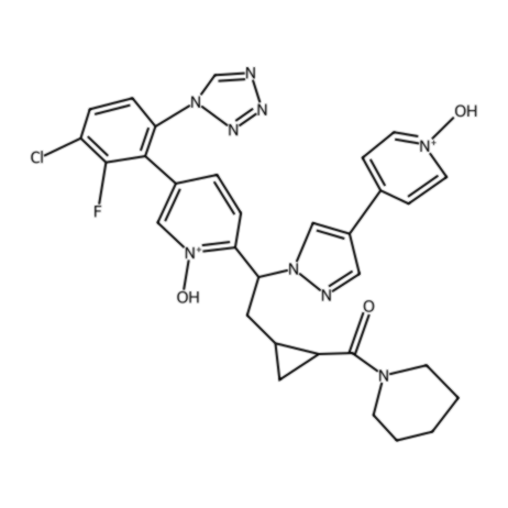 O=C(C1CC1CC(c1ccc(-c2c(-n3cnnn3)ccc(Cl)c2F)c[n+]1O)n1cc(-c2cc[n+](O)cc2)cn1)N1CCCCC1